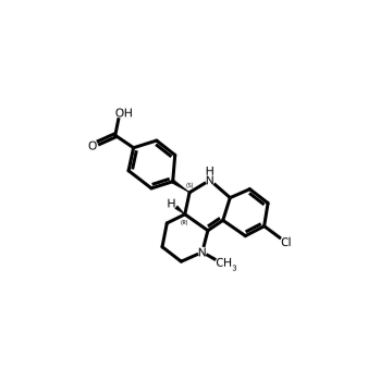 CN1CCC[C@H]2C1=C1C=C(Cl)C=CC1N[C@@H]2c1ccc(C(=O)O)cc1